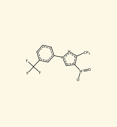 Cc1nn(-c2cccc(C(F)(F)F)c2)cc1[N+](=O)[O-]